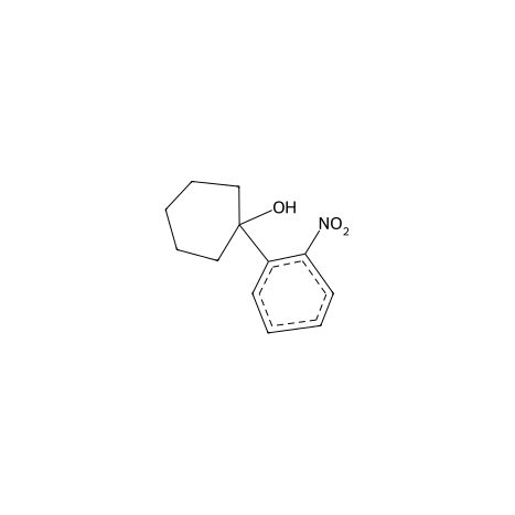 O=[N+]([O-])c1ccccc1C1(O)CCCCC1